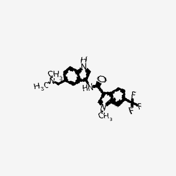 CN(C)Cc1ccc2[nH]cc(NC(=O)c3cn(C)c4cc(C(F)(F)F)ccc34)c2c1